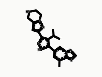 Cc1cc(-c2[nH]nc(-c3cc4n(n3)CCNC4)c2C(C)C)cn2ncnc12